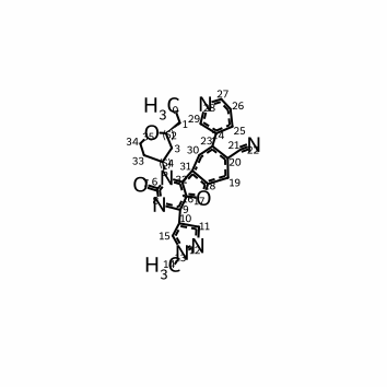 CC[C@H]1C[C@@H](n2c(=O)nc(-c3cnn(C)c3)c3oc4cc(C#N)c(-c5cccnc5)cc4c32)CCO1